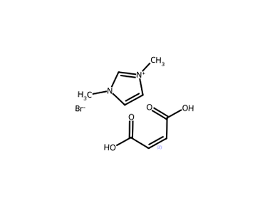 Cn1cc[n+](C)c1.O=C(O)/C=C\C(=O)O.[Br-]